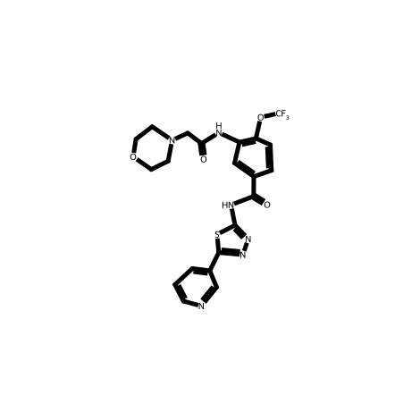 O=C(CN1CCOCC1)Nc1cc(C(=O)Nc2nnc(-c3cccnc3)s2)ccc1OC(F)(F)F